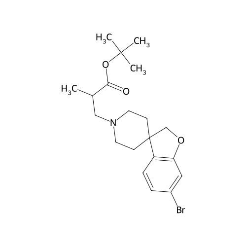 CC(CN1CCC2(CC1)COc1cc(Br)ccc12)C(=O)OC(C)(C)C